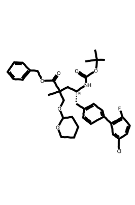 CC(C)(C)OC(=O)N[C@H](Cc1ccc(-c2cc(Cl)ccc2F)cc1)CC(C)(COC1CCCCO1)C(=O)OCc1ccccc1